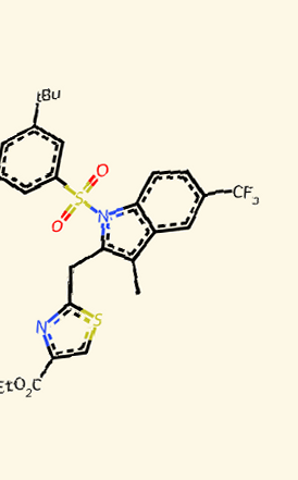 CCOC(=O)c1csc(Cc2c(C)c3cc(C(F)(F)F)ccc3n2S(=O)(=O)c2cccc(C(C)(C)C)c2)n1